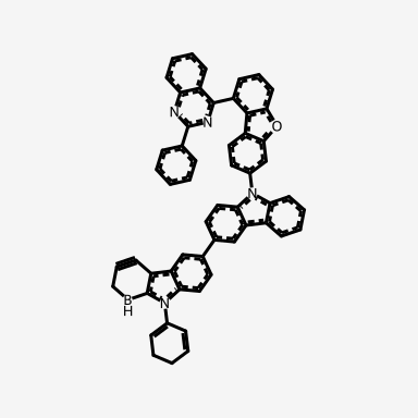 B1CC#Cc2c1n(C1=CCCC=C1)c1ccc(-c3ccc4c(c3)c3ccccc3n4-c3ccc4c(c3)oc3cccc(-c5nc(-c6ccccc6)nc6ccccc56)c34)cc21